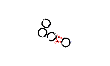 C1=C\CCCCCCCCCC/1.C1=C\CCCCCCCCCC/1.C1=C\CCCCCCCCCC/1.O=C1OC(=O)OC2CCCCC/C=C\CCCC2O1